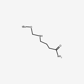 CC(C)(C)OCNCCCC(N)=O